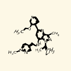 CCOc1cnccc1-c1cc(NCc2cnn(C)c2)c2c(n1)c(C)nn2C(C)C